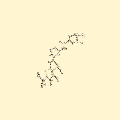 Cc1cc(C(C)Nc2cccc(-c3ccc(C(=O)N(C)[C@@H](C)C(=O)O)c(F)c3)c2)ccc1Cl